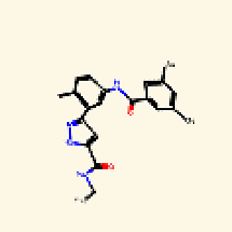 Cc1ccc(NC(=O)c2cc(C#N)cc(C(C)(C)C)c2)cc1-c1cc(C(=O)NCC(C)(C)C)[nH]n1